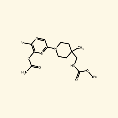 CC1(CNC(=O)OC(C)(C)C)CCN(c2cnc(Br)c(OC(N)=O)n2)CC1